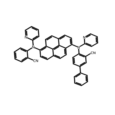 N#Cc1ccccc1N(c1ccccn1)c1ccc2ccc3c(N(c4ccccn4)c4ccc(-c5ccccc5)cc4C#N)ccc4ccc1c2c43